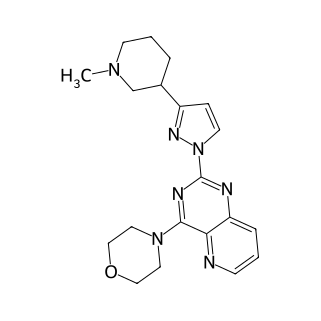 CN1CCCC(c2ccn(-c3nc(N4CCOCC4)c4ncccc4n3)n2)C1